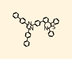 c1ccc(C2=NCc3c(-c4ccc(-c5nc(-c6ccc(-c7ccccc7)cc6)cc(-c6ccc(-c7ccccc7)cc6)n5)cc4)cccc3-c3c2sc2ccccc32)cc1